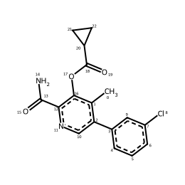 Cc1c(-c2cccc(Cl)c2)cnc(C(N)=O)c1OC(=O)C1CC1